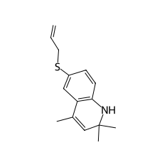 C=CCSc1ccc2c(c1)C(C)=CC(C)(C)N2